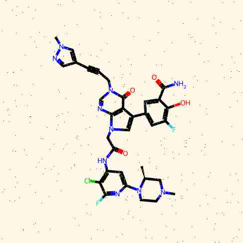 C[C@H]1CN(C)CCN1c1cc(NC(=O)Cn2cc(-c3cc(F)c(O)c(C(N)=O)c3)c3c(=O)n(CC#Cc4cnn(C)c4)cnc32)c(Cl)c(F)n1